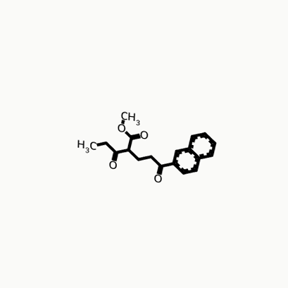 CCC(=O)C(CCC(=O)c1ccc2ccccc2c1)C(=O)OC